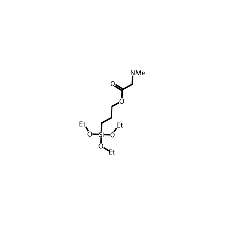 CCO[Si](CCCOC(=O)CNC)(OCC)OCC